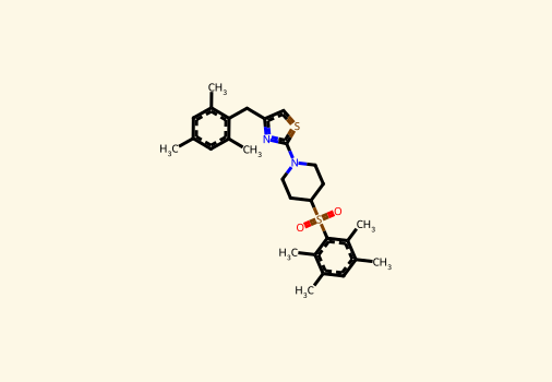 Cc1cc(C)c(Cc2csc(N3CCC(S(=O)(=O)c4c(C)c(C)cc(C)c4C)CC3)n2)c(C)c1